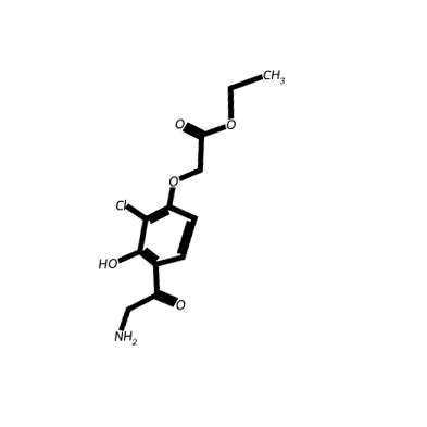 CCOC(=O)COc1ccc(C(=O)CN)c(O)c1Cl